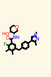 Cc1nn(C)cc1-c1ccc(Cc2cc(C(=O)N[C@H]3COCC[C@@H]3O)c(F)c(C)c2C)cc1